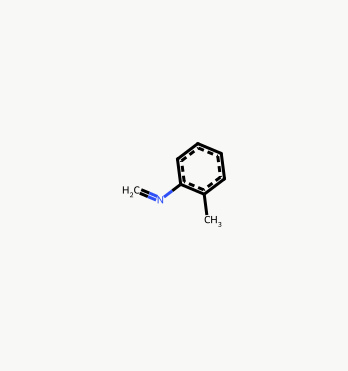 C=Nc1ccccc1C